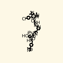 Cc1ncoc1-c1ccc(CNC(=O)[C@@H]2C[C@@H](O)CN2C(=O)C(C(C)C)n2cc(-c3ccnc(O[C@H](C)CNC(=O)C[C@@H]4N=C(c5ccc(Cl)cc5)c5c(sc(C)c5C)-n5c(C)nnc54)c3)cn2)cc1